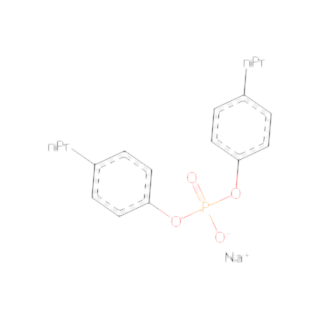 CCCc1ccc(OP(=O)([O-])Oc2ccc(CCC)cc2)cc1.[Na+]